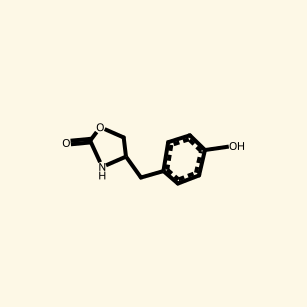 O=C1NC(Cc2ccc(O)cc2)CO1